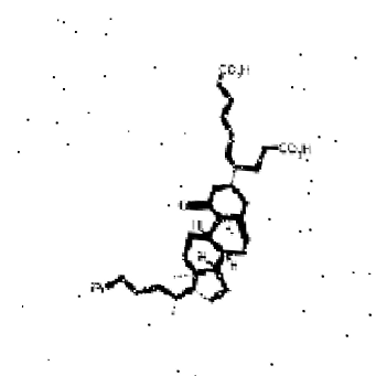 CC(C)CCC[C@@H](C)[C@H]1CC[C@H]2[C@@H]3CC=C4C[C@@H](C(CCCCCC(=O)O)CCC(=O)O)CC(=O)[C@]4(C)[C@H]3CC[C@]12C